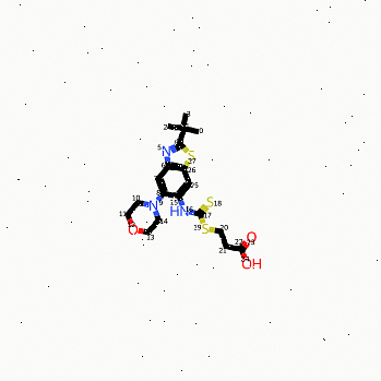 CC(C)(C)c1nc2cc(N3CCOCC3)c(NC(=S)SCCC(=O)O)cc2s1